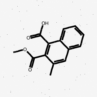 COC(=O)c1c(C)cc2ccccc2c1C(=O)O